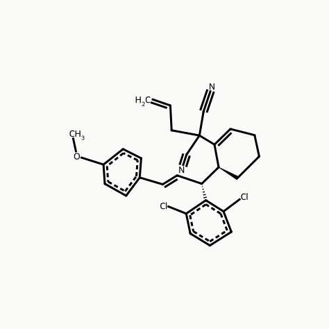 C=CCC(C#N)(C#N)C1=CCCC[C@H]1[C@@H](/C=C/c1ccc(OC)cc1)c1c(Cl)cccc1Cl